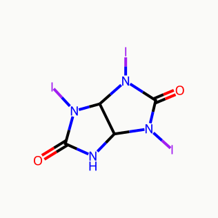 O=C1NC2C(N1I)N(I)C(=O)N2I